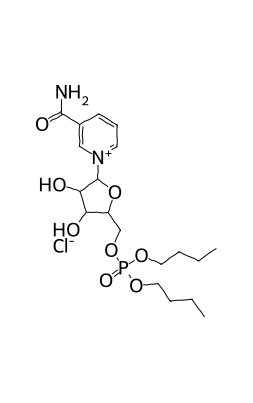 CCCCOP(=O)(OCCCC)OCC1OC([n+]2cccc(C(N)=O)c2)C(O)C1O.[Cl-]